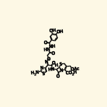 CC(=O)OCC1=C(C(=O)O)N2C(=O)C(NC(=O)/C(=N\OCC(=O)NNC(=O)c3ccc(O)c(O)c3)c3csc(N)n3)[C@H]2SC1